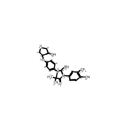 CC1(C)C(=O)N(c2ccc(C#N)c(C(F)(F)F)c2)C(S)N1c1ccc(OC2COCC2O)cc1